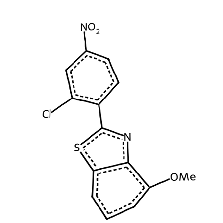 COc1cccc2sc(-c3ccc([N+](=O)[O-])cc3Cl)nc12